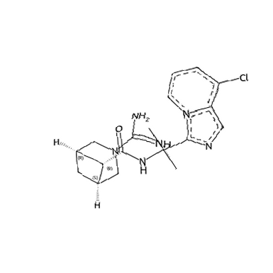 CC(C)(NC(=O)[C@@H]1[C@@H]2C[C@H]1CN(C(=N)N)C2)c1ncc2c(Cl)cccn12